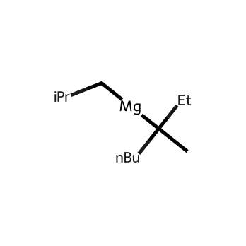 CCCC[C](C)(CC)[Mg][CH2]C(C)C